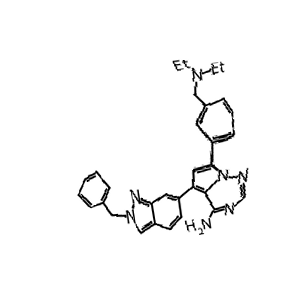 CCN(CC)Cc1cccc(-c2cc(-c3ccc4cn(Cc5ccccc5)nc4c3)c3c(N)ncnn23)c1